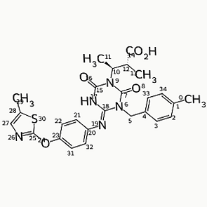 Cc1ccc(Cn2c(=O)n([C@@H](C)[C@@H](C)C(=O)O)c(=O)[nH]/c2=N\c2ccc(Oc3ncc(C)s3)cc2)cc1